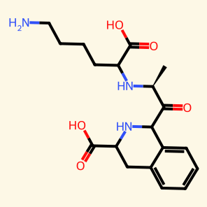 C[C@H](NC(CCCCN)C(=O)O)C(=O)C1NC(C(=O)O)Cc2ccccc21